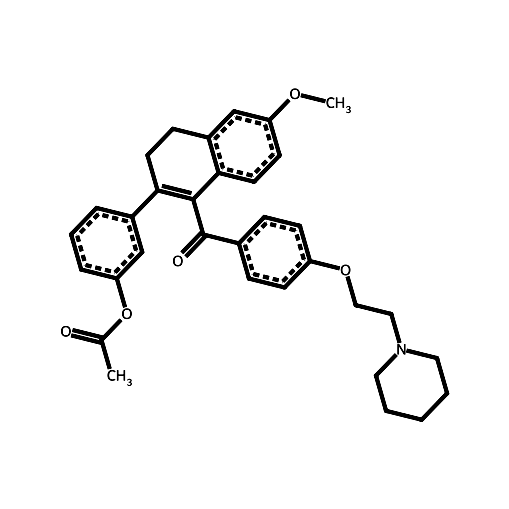 COc1ccc2c(c1)CCC(c1cccc(OC(C)=O)c1)=C2C(=O)c1ccc(OCCN2CCCCC2)cc1